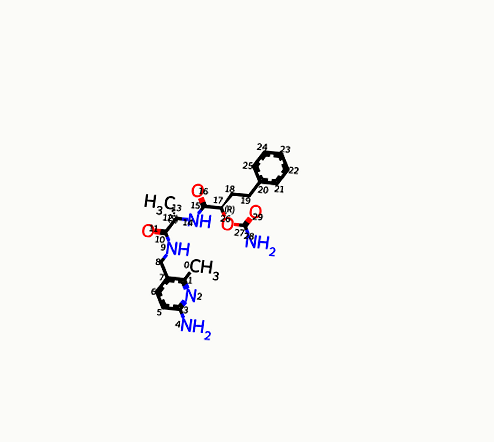 Cc1nc(N)ccc1CNC(=O)[C@H](C)NC(=O)[C@@H](CCc1ccccc1)OC(N)=O